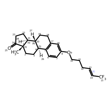 C[C@]12CC[C@@H]3c4ccc(OCCC/C=C/C(F)(F)F)cc4CC[C@H]3[C@@H]1CCC2=O